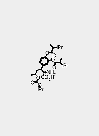 CC(C)OC(=O)OC(C)CC(c1ccc(OC(=O)C(C)C(C)C)c(OC(=O)C(C)C(C)C)c1)[C@H](N)C(=O)O